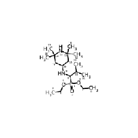 CCOP(=O)(OCC)C(NC1CC(C)(C)NC(C)(C)C1)C(C)C